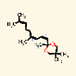 CC(C)=CCC/C(C)=C\C=C/C1(C)OCC(C)(C)CO1